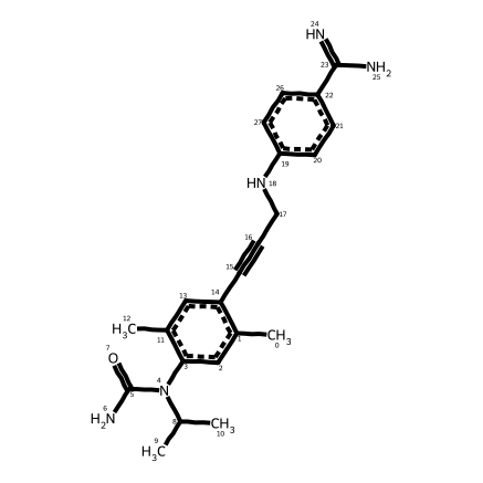 Cc1cc(N(C(N)=O)C(C)C)c(C)cc1C#CCNc1ccc(C(=N)N)cc1